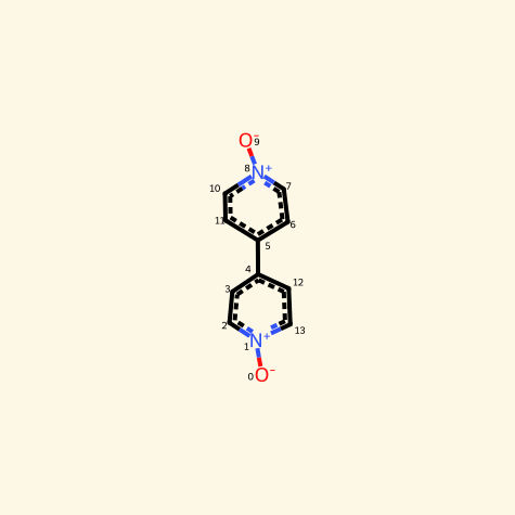 [O-][n+]1ccc(-c2cc[n+]([O-])cc2)cc1